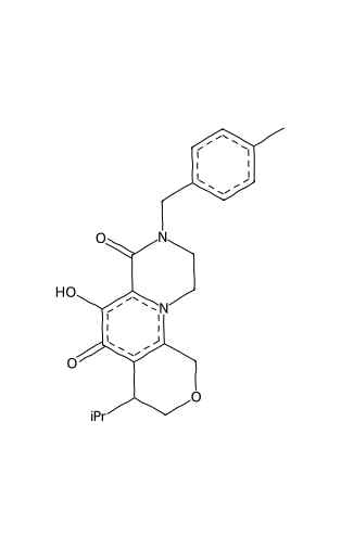 Cc1ccc(CN2CCn3c4c(c(=O)c(O)c3C2=O)C(C(C)C)COC4)cc1